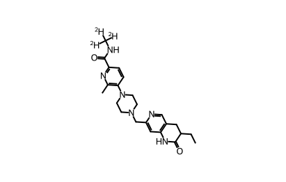 [2H]C([2H])([2H])NC(=O)c1ccc(N2CCN(Cc3cc4c(cn3)CC(CC)C(=O)N4)CC2)c(C)n1